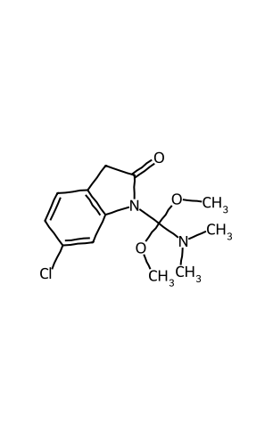 COC(OC)(N(C)C)N1C(=O)Cc2ccc(Cl)cc21